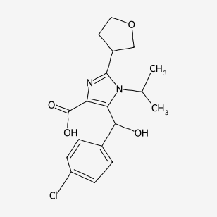 CC(C)n1c(C2CCOC2)nc(C(=O)O)c1C(O)c1ccc(Cl)cc1